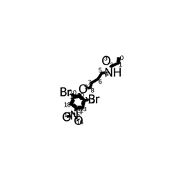 C=CC(=O)NCCCCOc1c(Br)cc([N+](=O)[O-])cc1Br